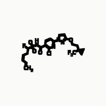 C=C/C=C\CC(F)S(=O)(=O)NC(=O)c1ccc(-n2ccc(OCCC3(C(F)(F)F)CC3)n2)nc1Cl